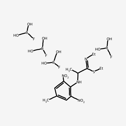 CCN=C(SCC)C(C)Nc1c([N+](=O)[O-])cc(C)cc1[N+](=O)[O-].OB(O)F.OB(O)F.OB(O)F.OB(O)F